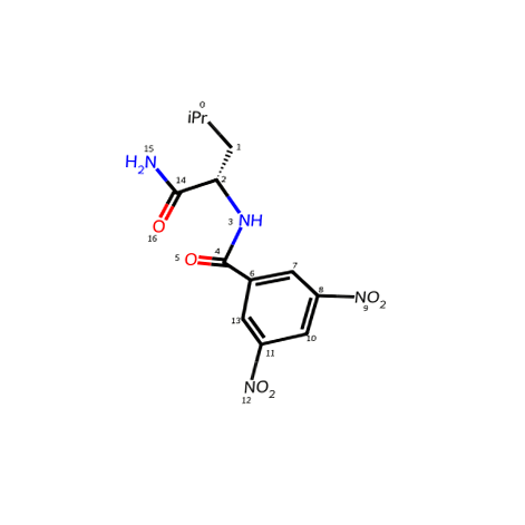 CC(C)C[C@H](NC(=O)c1cc([N+](=O)[O-])cc([N+](=O)[O-])c1)C(N)=O